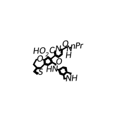 CCCNC(=O)c1ccc(-c2cc3c(cc2C(=O)Nc2ccc4c(c2)CNC4)-c2sccc2CCO3)c(C(=O)O)n1